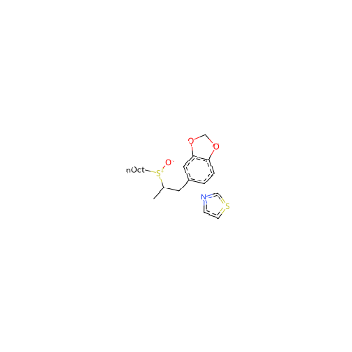 CCCCCCCC[S+]([O-])C(C)Cc1ccc2c(c1)OCO2.c1cscn1